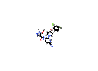 COc1c(C(=O)Nc2ccc(C#N)nc2N2CCC(Oc3ccc(F)cc3F)CC2)cnn1C